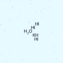 I.I.I.O.[KH]